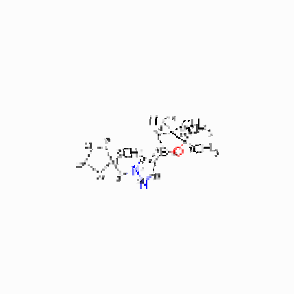 CC1(Cn2cc(B3CC(C)(C)C(C)(C)O3)cn2)CCCC1